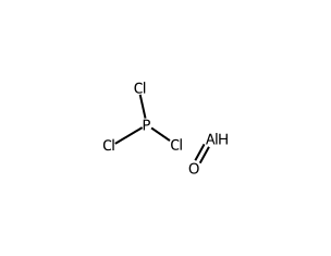 ClP(Cl)Cl.[O]=[AlH]